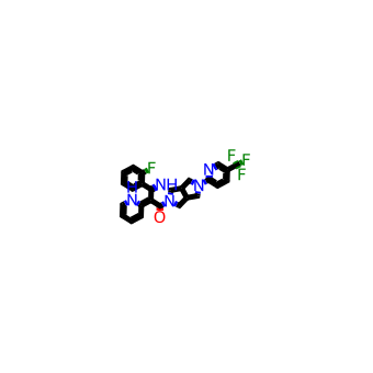 N=C(/C(C(=O)N1CC2CN(c3ccc(C(F)(F)F)cn3)CC2C1)=C1/C=CC=CN1)c1ccccc1F